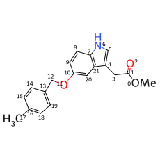 COC(=O)Cc1c[nH]c2ccc(OCc3ccc(C)cc3)cc12